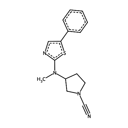 CN(c1ncc(-c2ccccc2)s1)C1CCN(C#N)C1